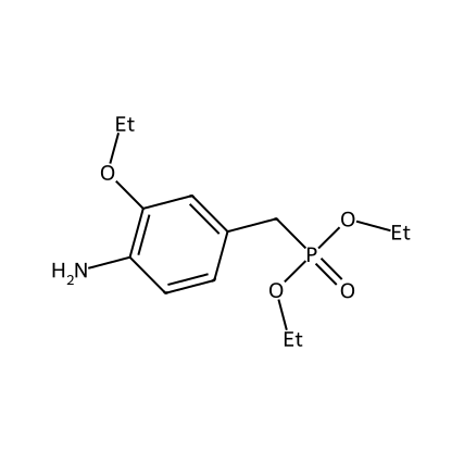 CCOc1cc(CP(=O)(OCC)OCC)ccc1N